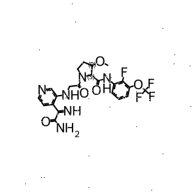 CO[C@@H]1CCN(C(=O)CNc2cnccc2C(=N)C(N)=O)[C@@H]1C(=O)Nc1cccc(OC(F)(F)F)c1F